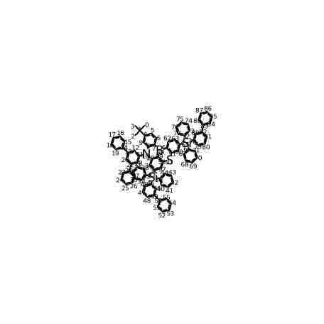 CC(C)(C)c1ccc2c(c1)N(c1cc(-c3ccccc3)cc(-c3ccccc3)c1)c1cc([Si](c3ccccc3)(c3ccccc3)c3cccc(-c4ccccc4)c3)cc3c1B2c1ccc([Si](c2ccccc2)(c2ccccc2)c2cccc(-c4ccccc4)c2)cc1S3